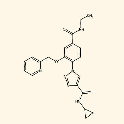 CCNC(=O)c1ccc(-n2cc(C(=O)NC3CC3)nn2)c(OCc2ccccn2)c1